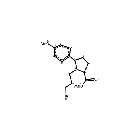 COC(=O)C1CCC(c2ccc(OC)cc2)N1CCCBr